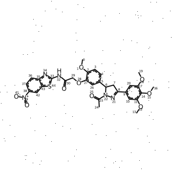 COc1ccc(C2CC(c3cc(OC)c(OC)c(OC)c3)=NN2C(C)=O)cc1OCC(=O)Nc1nc2ccc([N+](=O)[O-])cc2s1